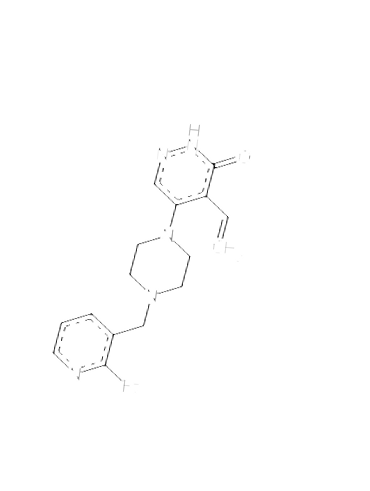 C=Cc1c(N2CCN(Cc3cccnc3CC)CC2)cn[nH]c1=O